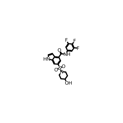 O=C(Nc1cc(F)c(F)c(F)c1)c1cc(S(=O)(=O)N2CCC(O)CC2)cc2[nH]ccc12